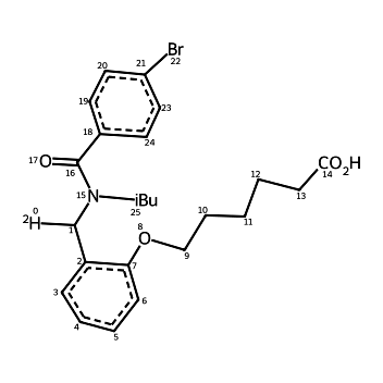 [2H]C(c1ccccc1OCCCCCC(=O)O)N(C(=O)c1ccc(Br)cc1)C(C)CC